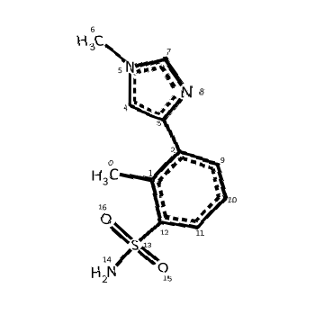 Cc1c(-c2cn(C)cn2)cccc1S(N)(=O)=O